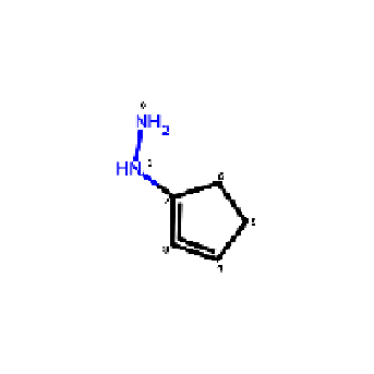 NNC1=C=CCC1